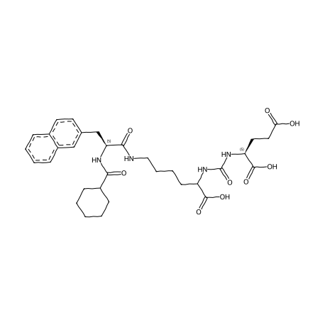 O=C(O)CC[C@H](NC(=O)NC(CCCCNC(=O)[C@H](Cc1ccc2ccccc2c1)NC(=O)C1CCCCC1)C(=O)O)C(=O)O